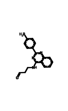 Bc1ccc(-c2nc(NCCC=O)c3ccccc3n2)cc1